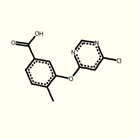 Cc1ccc(C(=O)O)cc1Oc1cc(Cl)ncn1